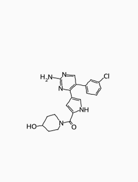 Nc1ncc(-c2cccc(Cl)c2)c(-c2c[nH]c(C(=O)N3CCC(O)CC3)c2)n1